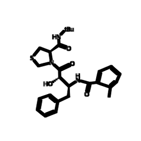 Cc1ccccc1C(=O)N[C@@H](Cc1ccccc1)[C@H](O)C(=O)N1CSC[C@H]1C(=O)NC(C)(C)C